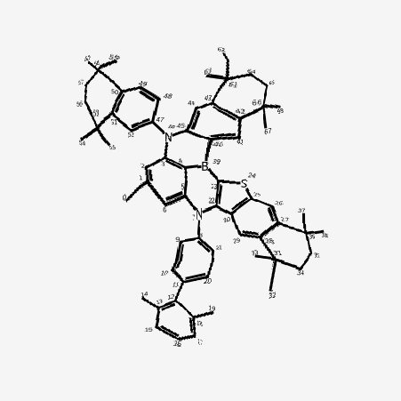 Cc1cc2c3c(c1)N(c1ccc(-c4c(C)cccc4C)cc1)c1c(sc4cc5c(cc14)C(C)(C)CCC5(C)C)B3c1cc3c(cc1N2c1ccc2c(c1)C(C)(C)CCC2(C)C)C(C)(C)CCC3(C)C